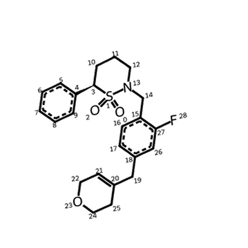 O=S1(=O)[C@@H](c2ccccc2)CCCN1Cc1ccc(CC2=CCOCC2)cc1F